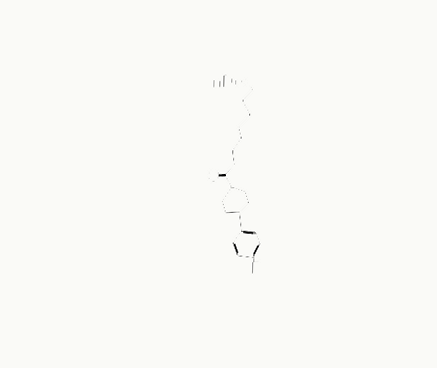 CCCCCCCCCCCCCCCCCC(=O)C1CCC(c2ccc(F)cc2)CC1